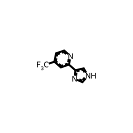 FC(F)(F)c1ccnc(-c2c[nH]cn2)c1